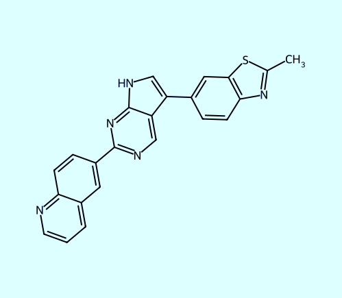 Cc1nc2ccc(-c3c[nH]c4nc(-c5ccc6ncccc6c5)ncc34)cc2s1